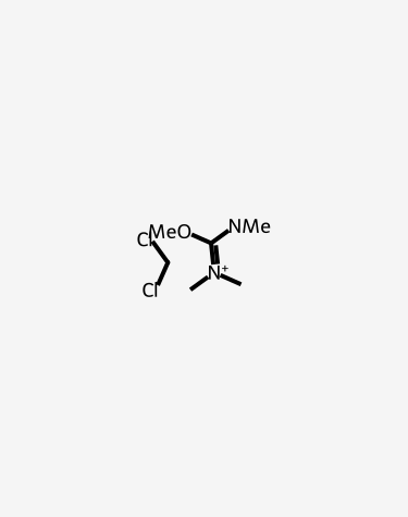 CNC(OC)=[N+](C)C.ClCCl